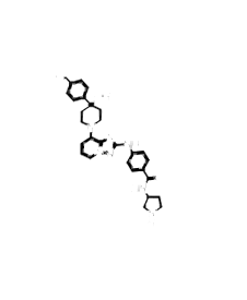 O=C(NC1CCNC1)c1ccc(Nc2nc3c(N4CCC(O)(c5ccc(Cl)cc5)CC4)cccn3n2)cc1